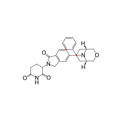 O=C1CCC(N2Cc3cc(C4C[C@H]5COC[C@@H](C4)N5Cc4ccccc4)ccc3C2=O)C(=O)N1